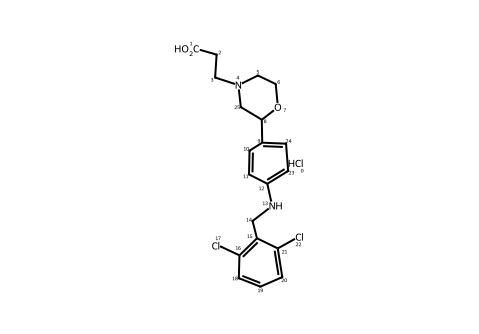 Cl.O=C(O)CCN1CCOC(c2ccc(NCc3c(Cl)cccc3Cl)cc2)C1